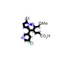 CCc1ccc2c(-c3cncc(Cl)c3)c(C=CC(=O)O)c(COC)nn12